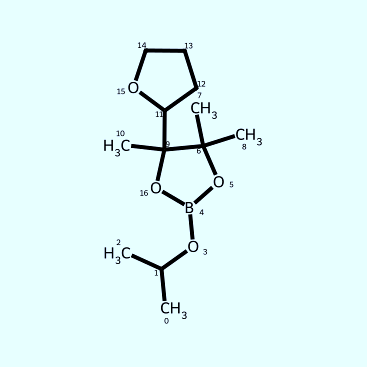 CC(C)OB1OC(C)(C)C(C)(C2CCCO2)O1